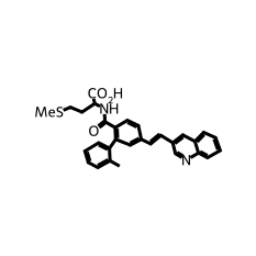 CSCCC(NC(=O)c1ccc(/C=C/c2cnc3ccccc3c2)cc1-c1ccccc1C)C(=O)O